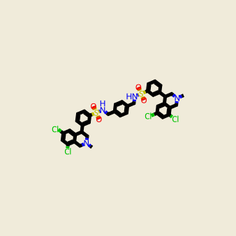 CN1Cc2c(Cl)cc(Cl)cc2C(c2cccc(S(=O)(=O)NCc3ccc(CNS(=O)(=O)c4cccc(C5CN(C)Cc6c(Cl)cc(Cl)cc65)c4)cc3)c2)C1